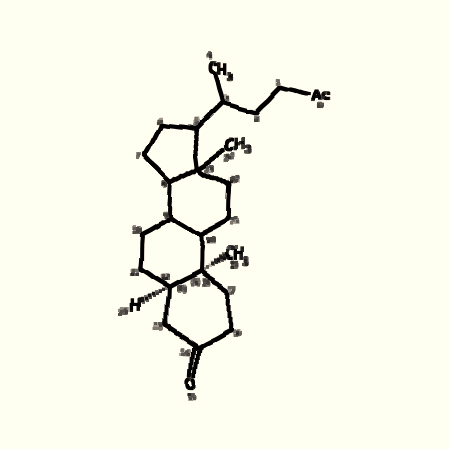 CC(=O)CCC(C)C1CCC2C3CC[C@@H]4CC(=O)CC[C@]4(C)C3CCC12C